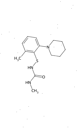 CNC(=O)NSc1c(C)cccc1N1CCCCC1